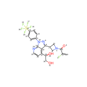 C=C(F)C(=O)N1CC(c2nn(-c3ccc(S(F)(F)(F)(F)F)cc3)c3nccc([C@@H](O)CO)c23)C1